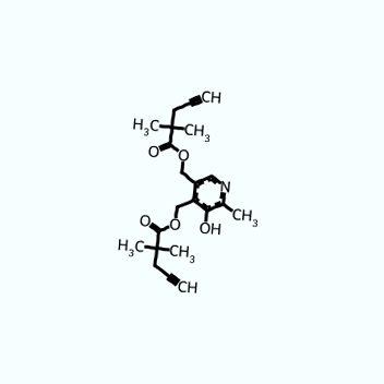 C#CCC(C)(C)C(=O)OCc1cnc(C)c(O)c1COC(=O)C(C)(C)CC#C